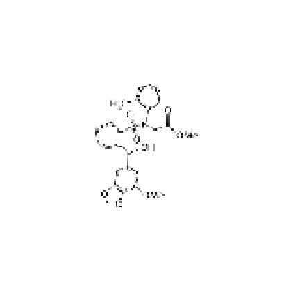 COC(=O)CN(c1ccccc1C)S(=O)(=O)c1ccccc1C(O)c1cc(OC)c2c(c1)OCO2